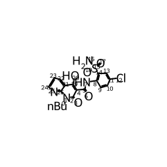 CCCCn1c(=O)c(C(=O)Nc2ccc(Cl)cc2S(N)(=O)=O)c(O)c2cccnc21